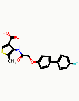 Cc1scc(C(=O)O)c1NC(=O)COc1ccc(-c2ccc(F)cc2)cc1